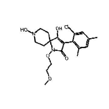 COCCON1C(=O)C(c2c(C)cc(C)cc2Cl)=C(O)C12CCN(O)CC2